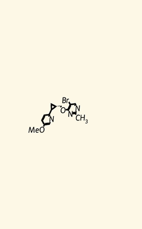 COc1ccc(C2C[C@@H]2COc2nc(C)ncc2Br)nc1